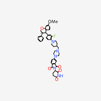 COc1ccc2c(c1)OC[C@H](c1ccccc1)C2c1ccc(N2CCC(CN3CCN(c4ccc5c(c4)C(=O)N(C4CCC(=O)NC4=O)C5=O)CC3)CC2)c(F)c1